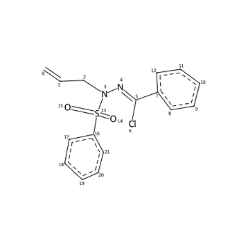 C=CCN(N=C(Cl)c1ccccc1)S(=O)(=O)c1ccccc1